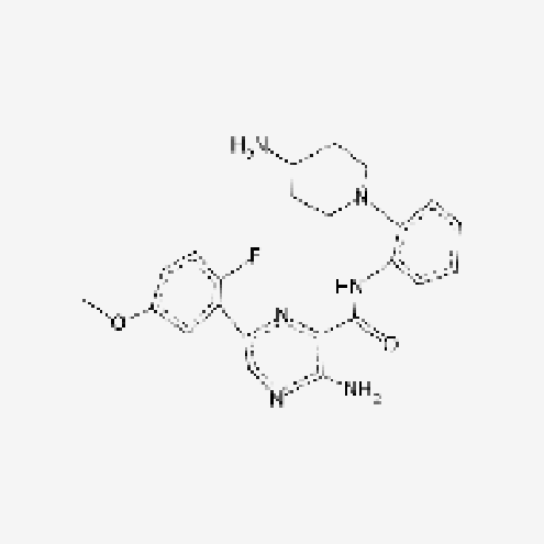 COc1ccc(F)c(-c2cnc(N)c(C(=O)Nc3ccccc3N3CCC(N)CC3)n2)c1